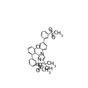 CC(C)(O)c1cn(-c2ccc(-c3cccc(S(C)(=O)=O)c3)cc2)c(-c2c(Cl)cccc2-c2cccc(S(C)(=O)=O)c2)n1